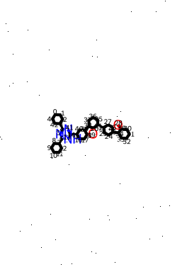 c1ccc(C2=NC(c3ccccc3)NC(c3ccc4oc5c(-c6ccc7c(c6)oc6ccccc67)cccc5c4c3)=N2)cc1